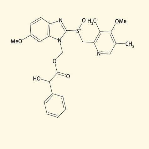 COc1ccc2nc([S+]([O-])Cc3ncc(C)c(OC)c3C)n(COC(=O)C(O)c3ccccc3)c2c1